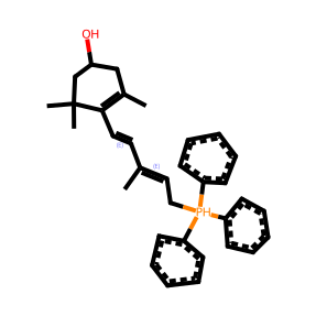 CC1=C(/C=C/C(C)=C/C[PH](c2ccccc2)(c2ccccc2)c2ccccc2)C(C)(C)CC(O)C1